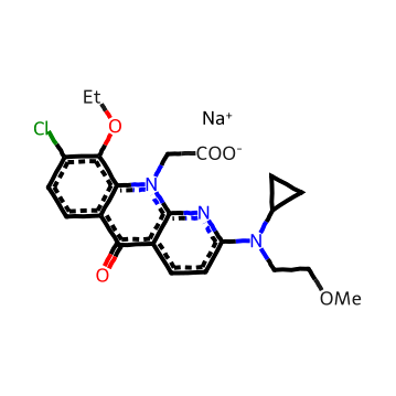 CCOc1c(Cl)ccc2c(=O)c3ccc(N(CCOC)C4CC4)nc3n(CC(=O)[O-])c12.[Na+]